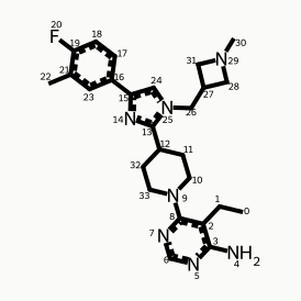 CCc1c(N)ncnc1N1CCC(c2nc(-c3ccc(F)c(C)c3)cn2CC2CN(C)C2)CC1